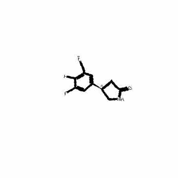 O=C1C[C@H](c2cc(F)c(F)c(F)c2)CN1